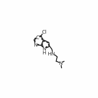 CN(C)CCNCc1cc2c(Cl)ccnc2[nH]1